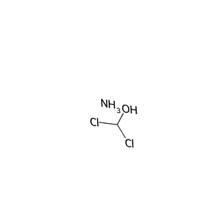 N.OC(Cl)Cl